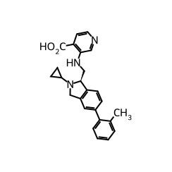 Cc1ccccc1-c1ccc2c(c1)CN(C1CC1)[C@H]2CNc1cnccc1C(=O)O